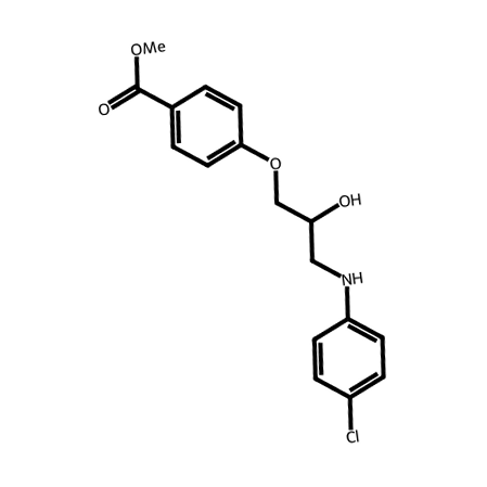 COC(=O)c1ccc(OCC(O)CNc2ccc(Cl)cc2)cc1